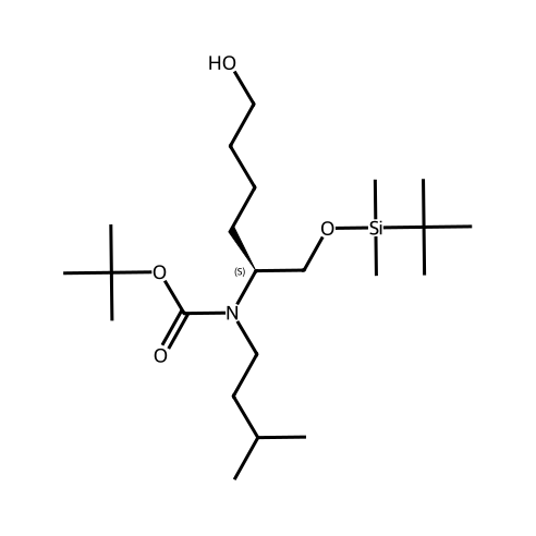 CC(C)CCN(C(=O)OC(C)(C)C)[C@@H](CCCCO)CO[Si](C)(C)C(C)(C)C